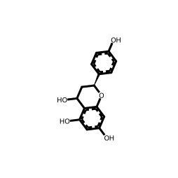 Oc1ccc([C@@H]2CC(O)c3c(O)cc(O)cc3O2)cc1